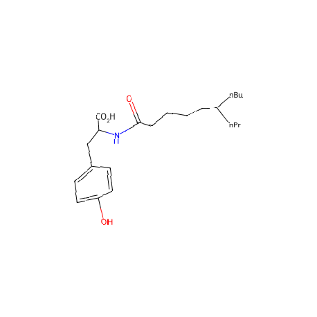 CCCCC(CCC)CCCCC(=O)NC(Cc1ccc(O)cc1)C(=O)O